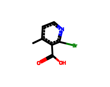 Cc1ccnc(Br)c1C(=O)O